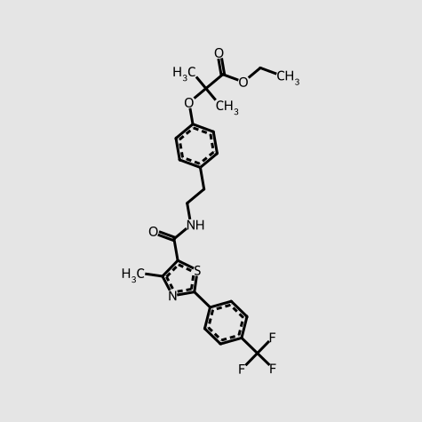 CCOC(=O)C(C)(C)Oc1ccc(CCNC(=O)c2sc(-c3ccc(C(F)(F)F)cc3)nc2C)cc1